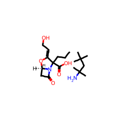 CC(C)(C)CC(C)(C)N.CCCC1(C(=O)O)C(=CCO)O[C@@H]2CC(=O)N21